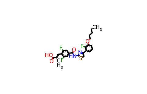 CCCCCOc1cccc(-c2csc(NC(=O)c3cc(F)c(/C=C(\C)C(=O)O)c(F)c3)n2)c1F